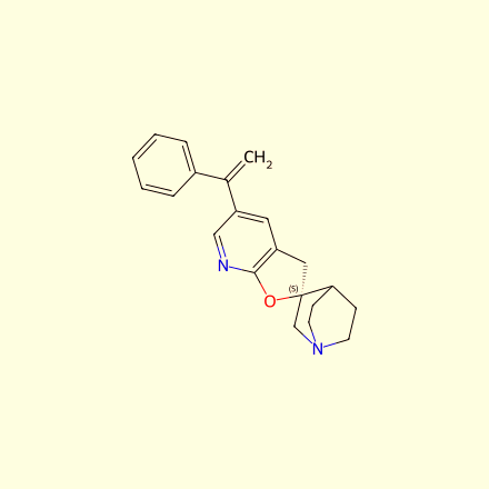 C=C(c1ccccc1)c1cnc2c(c1)C[C@]1(CN3CCC1CC3)O2